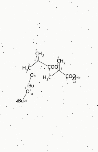 C=C(C)C(=O)[O-].C=C(C)C(=O)[O-].CCC(C)[O-].CCC(C)[O-].[Zr+4]